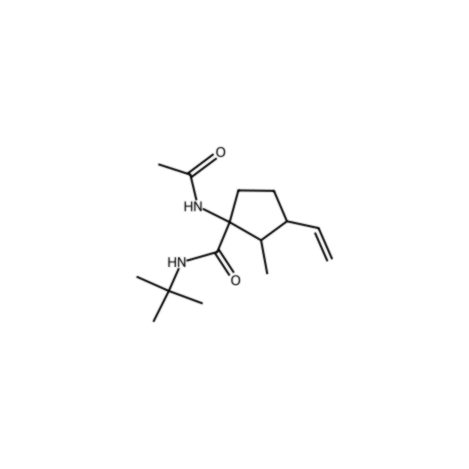 C=CC1CCC(NC(C)=O)(C(=O)NC(C)(C)C)C1C